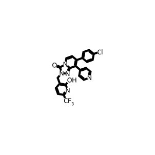 O=c1n(Cc2ccc(C(F)(F)F)nc2O)nc2c(-c3ccncc3)c(-c3ccc(Cl)cc3)ccn12